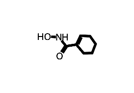 O=C(NO)C1=CCCCC1